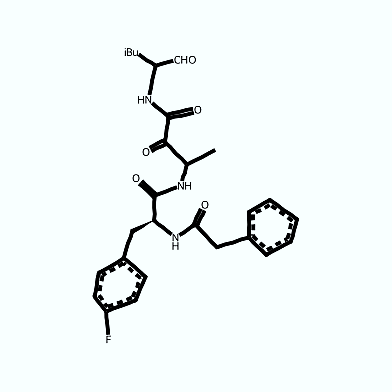 CCC(C)C(C=O)NC(=O)C(=O)C(C)NC(=O)[C@H](Cc1ccc(F)cc1)NC(=O)Cc1ccccc1